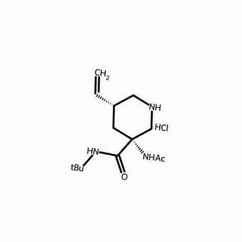 C=C[C@@H]1CNC[C@@](NC(C)=O)(C(=O)NC(C)(C)C)C1.Cl